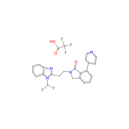 O=C(O)C(F)(F)F.O=C1c2c(cccc2-c2ccncc2)CN1CCc1nc2ccccc2n1C(F)F